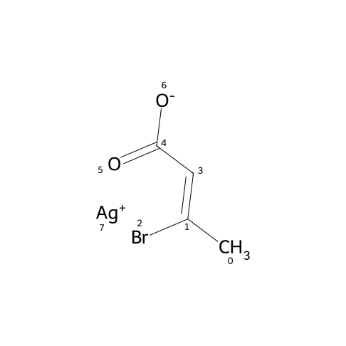 CC(Br)=CC(=O)[O-].[Ag+]